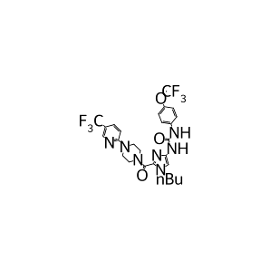 CCCCn1cc(NC(=O)Nc2ccc(OC(F)(F)F)cc2)nc1C(=O)N1CCN(c2ccc(C(F)(F)F)cn2)CC1